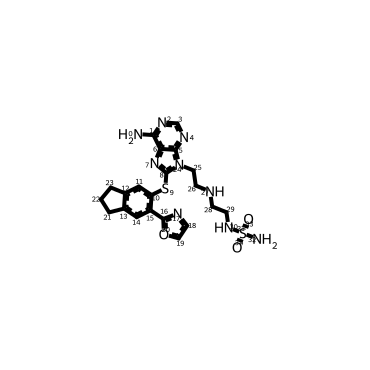 Nc1ncnc2c1nc(Sc1cc3c(cc1-c1ncco1)CCC3)n2CCNCCNS(N)(=O)=O